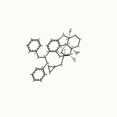 O[C@@]12CCC[C@@H]3Oc4ccc(N(Cc5ccccc5)Cc5ccccc5)c5c4[C@@]31CCN(CC1CC1)[C@@H]2C5